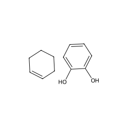 C1=CCCCC1.Oc1ccccc1O